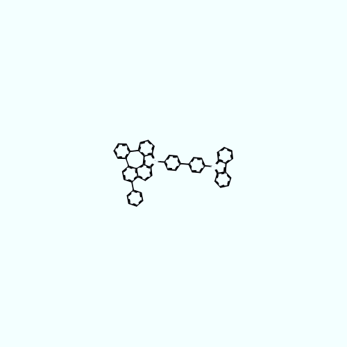 c1ccc(-c2ccc3c4c2ccc2c4c4c(cccc4n2-c2ccc(-c4ccc(-n5c6ccccc6c6ccccc65)cc4)cc2)-c2ccccc2-3)cc1